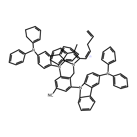 C=CC/C=C\c1c(C)c2ccccc2n1Cc1c(-n2c3ccccc3c3cc(N(C4=CC=CCC4)c4ccccc4)ccc32)cc(C#N)cc1-n1c2ccccc2c2cc(N(c3ccccc3)c3ccccc3)ccc21